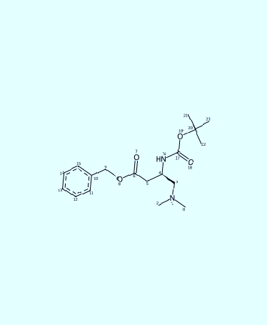 CN(C)C[C@@H](CC(=O)OCc1ccccc1)NC(=O)OC(C)(C)C